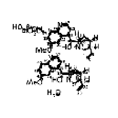 C=C[C@H]1C[N@]2CC[C@H]1C[C@H]2[C@H](O)c1ccnc2ccc(OC)cc12.C=C[C@H]1C[N@]2CC[C@H]1C[C@H]2[C@H](O)c1ccnc2ccc(OC)cc12.CC(=O)O.O.O=S(=O)(O)O